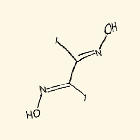 O/N=C(I)/C(I)=N/O